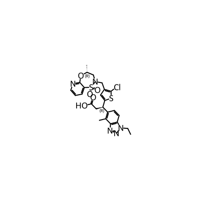 CCn1nnc2c(C)c([C@@H](CC(=O)O)c3cc(CN4C[C@@H](C)Oc5ncccc5S4(=O)=O)c(Cl)s3)ccc21